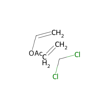 C=C.C=COC(C)=O.ClCCl